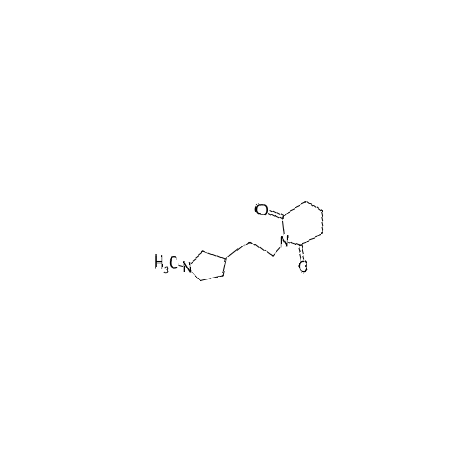 CN1CCC(CCN2C(=O)CCCC2=O)C1